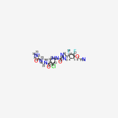 Cn1c(-c2ccc(OCC#N)c(F)c2F)cnc1C(=O)Nc1ccc(C(=O)N2CCN(C(=O)C[N+](C)(C)C)CC2)c(Cl)c1